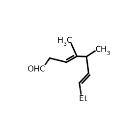 CCC=CC(C)C(C)=CCC=O